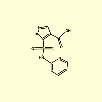 O=C(O)c1cn[nH]c1S(=O)(=O)Nc1ccccn1